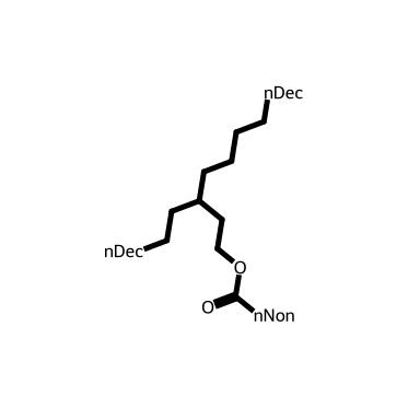 CCCCCCCCCCCCCCC(CCCCCCCCCCCC)CCOC(=O)CCCCCCCCC